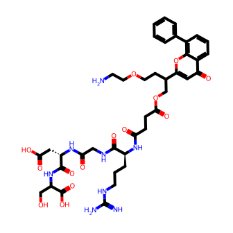 N=C(N)NCCC[C@H](NC(=O)CCC(=O)OCC(CCOCCN)c1cc(=O)c2cccc(-c3ccccc3)c2o1)C(=O)NCC(=O)N[C@@H](CC(=O)O)C(=O)NC(CO)C(=O)O